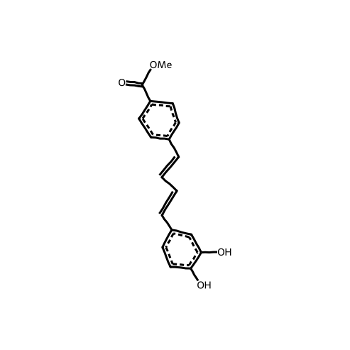 COC(=O)c1ccc(C=CC=Cc2ccc(O)c(O)c2)cc1